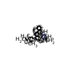 C=CC(=O)N1[C@H](C)CN(c2nc(=O)n(C(/C(C)=C\C)=C(/N=C)C(C)C)c3nc(-c4c(O)cccc4F)c(F)cc23)C[C@@H]1C